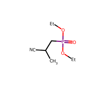 CCOP(=O)(CC(C)C#N)OCC